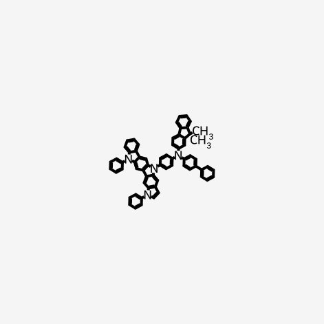 CC1(C)c2ccccc2-c2ccc(N(c3ccc(-c4ccccc4)cc3)c3ccc(-n4c5cc6ccn(-c7ccccc7)c6cc5c5cc6c(cc54)c4ccccc4n6-c4ccccc4)cc3)cc21